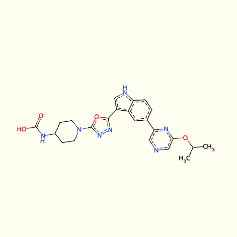 CC(C)Oc1cncc(-c2ccc3[nH]cc(-c4nnc(N5CCC(NC(=O)O)CC5)o4)c3c2)n1